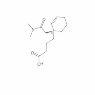 CN(C)C(=O)C[C@@]1(CCCC(=O)O)C=CCCC1